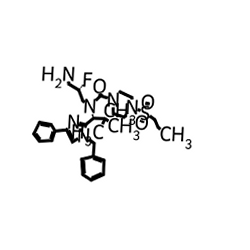 CCCS(=O)(=O)N1CCN(C(=O)N(C[C@@H](F)CN)[C@@H](c2nc(-c3ccccc3)cn2Cc2ccccc2)C(C)(C)C)CC1